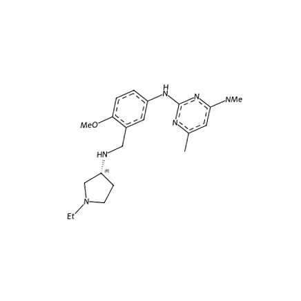 CCN1CC[C@@H](NCc2cc(Nc3nc(C)cc(NC)n3)ccc2OC)C1